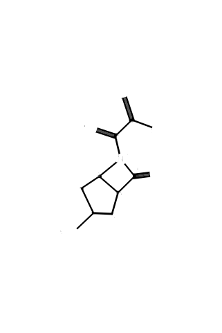 C=C(C)C(=O)N1C(=O)C2CC(OC(C)=O)CC21